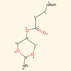 CCCCCCCCCCCC(=O)OC1COC(CCC)OC1